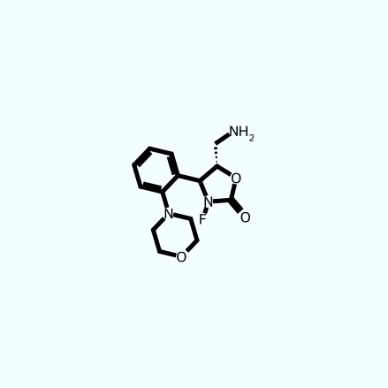 NC[C@@H]1OC(=O)N(F)C1c1ccccc1N1CCOCC1